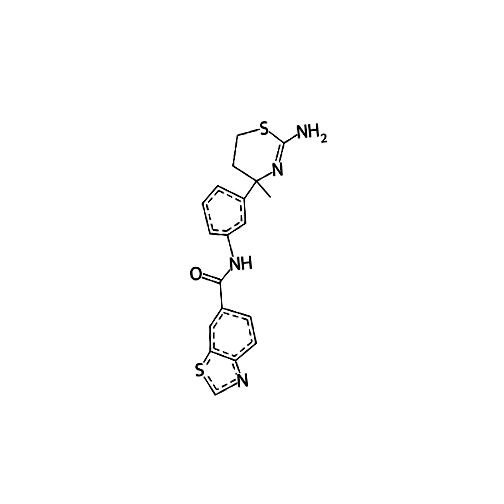 CC1(c2cccc(NC(=O)c3ccc4ncsc4c3)c2)CCSC(N)=N1